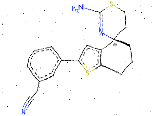 N#Cc1cccc(-c2cc3c(s2)CCC[C@@]32CCSC(N)=N2)c1